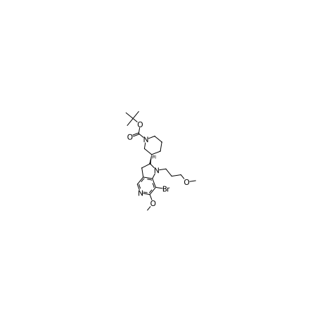 COCCCN1c2c(cnc(OC)c2Br)CC1[C@@H]1CCCN(C(=O)OC(C)(C)C)C1